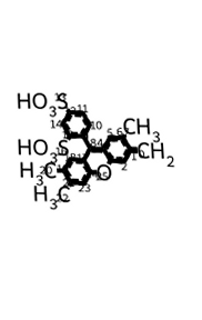 C=c1cc2c(cc1C)=C(c1ccc(S(=O)(=O)O)cc1S(=O)(=O)O)c1cc(C)c(C)cc1O2